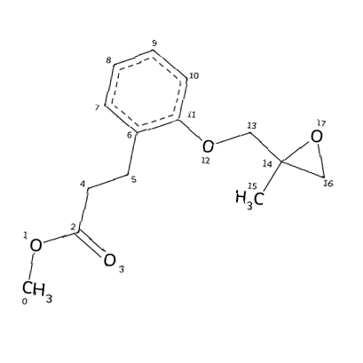 COC(=O)CCc1ccccc1OCC1(C)CO1